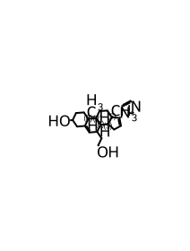 C[C@]12CCC(O)CC1=CC(CCO)[C@@H]1[C@H]2CC[C@]2(C)C(n3ccnc3)=CC[C@@H]12